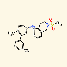 Cc1ccc(Nc2cccc3c2CCN(S(C)(=O)=O)C3)cc1-c1cccc(C#N)c1